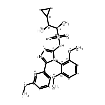 COc1cccc(-c2nnc(NS(=O)(=O)[C@H](C)[C@@H](O)C3CC3)n2-c2c(OC)cccc2OC)n1